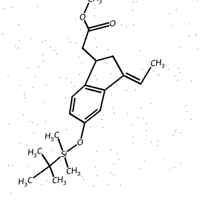 CC=C1CC(CC(=O)OC)c2ccc(O[Si](C)(C)C(C)(C)C)cc21